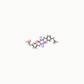 O=C1NC(Cc2ccc(CC3CO3)cc2)C(=O)NC1Cc1ccc(CC2CO2)cc1